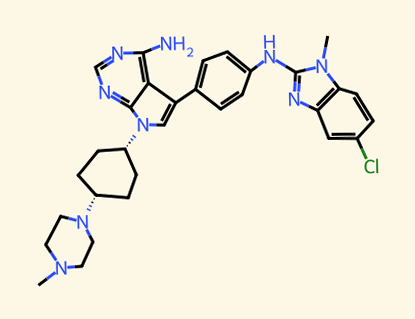 CN1CCN([C@H]2CC[C@@H](n3cc(-c4ccc(Nc5nc6cc(Cl)ccc6n5C)cc4)c4c(N)ncnc43)CC2)CC1